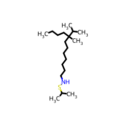 CCCCC(C)(CCCCCCCNSC(C)C)C(C)C